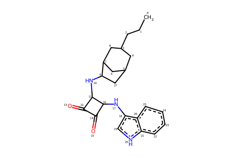 CCCC1CC2CC(C1)C(NC1C(=O)C(=O)C1Nc1c[nH]c3ccccc13)C2